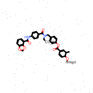 CCCCCCCOC1C=CC(C(=O)Oc2ccc(CN(CC(=O)O)C(=O)c3ccc(NC(=O)c4cccc5c4OCO5)cc3)cc2)=CC1C